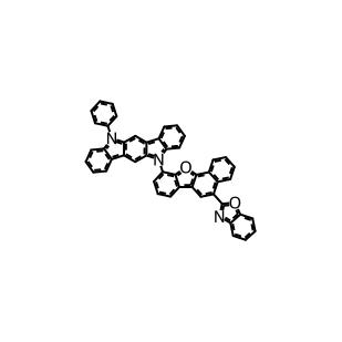 c1ccc(-n2c3ccccc3c3cc4c(cc32)c2ccccc2n4-c2cccc3c2oc2c4ccccc4c(-c4nc5ccccc5o4)cc32)cc1